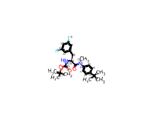 CN(C(=O)[C@H](Cc1cc(F)cc(F)c1)NC(=O)OC(C)(C)C)c1ccc(C(C)(C)C)cc1